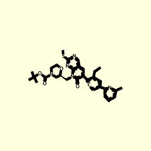 CCc1cc(-c2cccc(C)n2)ccc1-c1cc2cnc(SC)nc2n(C[C@H]2CN(C(=O)OC(C)(C)C)CCO2)c1=O